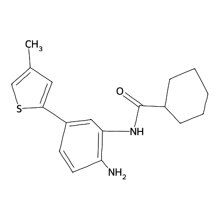 Cc1csc(-c2ccc(N)c(NC(=O)C3CCCCC3)c2)c1